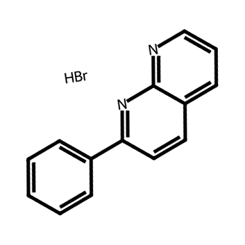 Br.c1ccc(-c2ccc3cccnc3n2)cc1